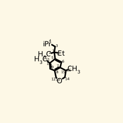 CCC(C)(CC(C)C)c1cc2c(cc1C)COCC2C